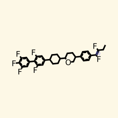 CC/C(F)=C(\F)c1ccc(C2CCC(C3CCC(c4cc(F)c(-c5cc(F)c(F)c(F)c5)c(F)c4)CC3)OC2)cc1